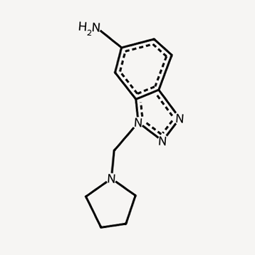 Nc1ccc2nnn(CN3CCCC3)c2c1